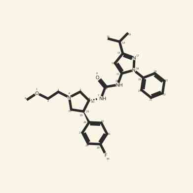 COCCN1C[C@H](NC(=O)Nc2cc(C(C)C)nn2-c2ccccc2)[C@@H](c2ccc(F)cc2)C1